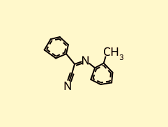 Cc1ccccc1N=C(C#N)c1ccccc1